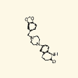 O=C1CCc2cc(N3CCN(Cc4ccc5c(c4)OCO5)CC3)ccc2N1